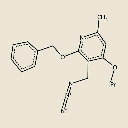 Cc1cc(OC(C)C)c(CN=[N+]=[N-])c(OCc2ccccc2)n1